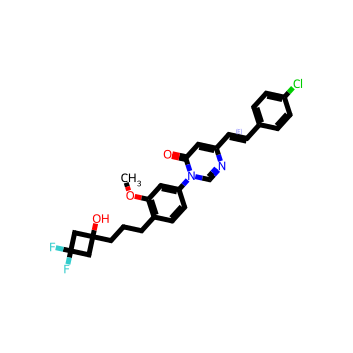 COc1cc(-n2cnc(/C=C/c3ccc(Cl)cc3)cc2=O)ccc1CCCC1(O)CC(F)(F)C1